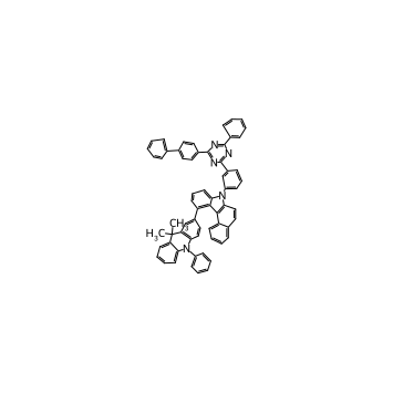 CC1(C)c2ccccc2N(c2ccccc2)c2ccc(-c3cccc4c3c3c5ccccc5ccc3n4-c3cccc(-c4nc(-c5ccccc5)nc(-c5ccc(-c6ccccc6)cc5)n4)c3)cc21